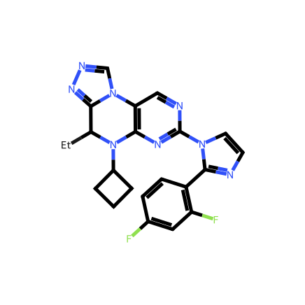 CCC1c2nncn2-c2cnc(-n3ccnc3-c3ccc(F)cc3F)nc2N1C1CCC1